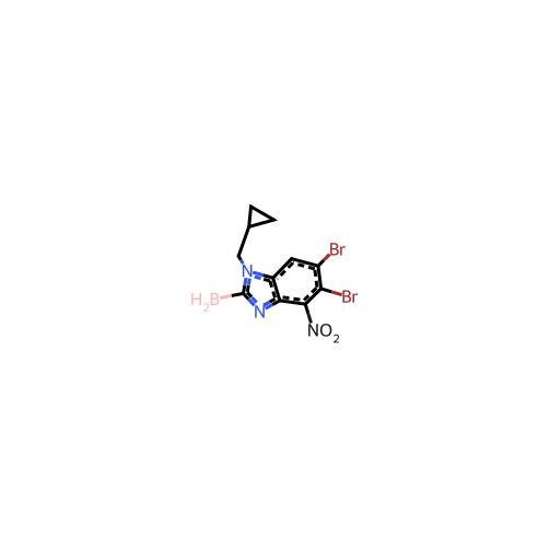 Bc1nc2c([N+](=O)[O-])c(Br)c(Br)cc2n1CC1CC1